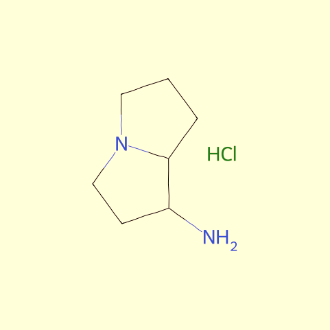 Cl.NC1CCN2CCCC12